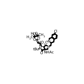 CC(=O)N[C@@]1(C(=O)NC(C)(C)C)CN(CC2Cc3ccc(Cl)cc3CN2C(=O)O)C[C@@H]1CCCB1OC(C)(C)C(C)(C)O1